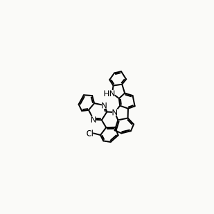 Clc1ccccc1-c1nc2ccccc2nc1-n1c2ccccc2c2ccc3c4ccccc4[nH]c3c21